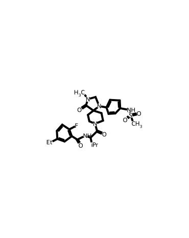 CCc1ccc(F)c(C(=O)NC(C(=O)N2CCC3(CC2)C(=O)N(C)CN3c2ccc(NS(C)(=O)=O)cc2)C(C)C)c1